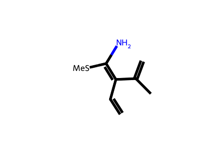 C=C/C(C(=C)C)=C(/N)SC